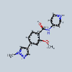 COc1cc(-c2cnn(C)c2)ccc1C(=O)Nc1ccncc1